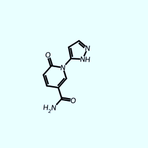 NC(=O)c1ccc(=O)n(-c2ccn[nH]2)c1